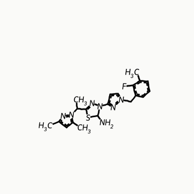 Cc1cc(C)n(C(C)C2=NN(c3ccn(Cc4cccc(C)c4F)n3)C(N)S2)n1